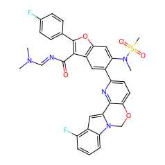 CN(C)C=NC(=O)c1c(-c2ccc(F)cc2)oc2cc(N(C)S(C)(=O)=O)c(-c3ccc4c(n3)-c3cc5c(F)cccc5n3CO4)cc12